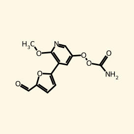 COc1ncc(OOC(N)=O)cc1-c1ccc(C=O)o1